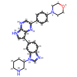 c1cc(N2CCOCC2)ccc1-c1cnc2[nH]cc(-c3ccc4ncn(C5CCCNC5)c4c3)c2n1